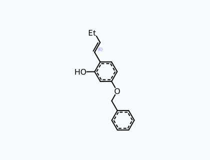 CC/C=C/c1ccc(OCc2ccccc2)cc1O